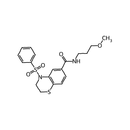 COCCCNC(=O)c1ccc2c(c1)N(S(=O)(=O)c1ccccc1)CCS2